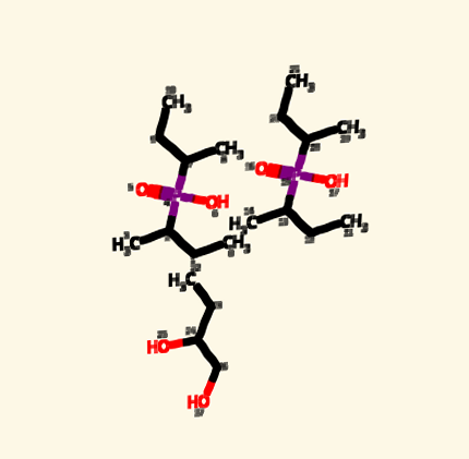 CCC(C)P(=O)(O)C(C)CC.CCC(C)P(=O)(O)C(C)CC.CCC(O)CO